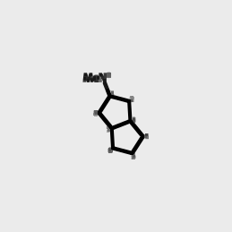 CNC1CC2CCCC2C1